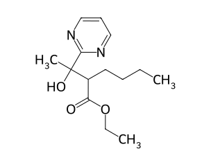 CCCCC(C(=O)OCC)C(C)(O)c1ncccn1